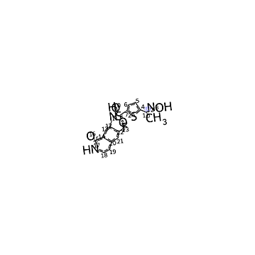 C/C(=N\O)c1ccc(S(=O)(=O)Nc2cc3c(=O)[nH]ccc3cc2F)s1